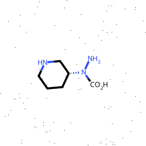 NN(C(=O)O)[C@@H]1CCCNC1